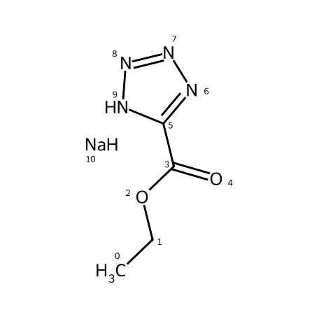 CCOC(=O)c1nnn[nH]1.[NaH]